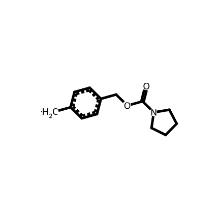 [CH2]c1ccc(COC(=O)N2CCCC2)cc1